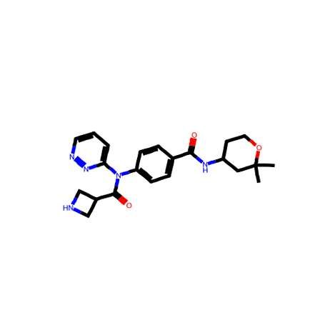 CC1(C)CC(NC(=O)c2ccc(N(C(=O)C3CNC3)c3cccnn3)cc2)CCO1